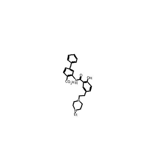 CCN1CCN(CCc2ccc(O)c(C(=O)Nc3cc(-c4ccccc4)ccc3C(=O)O)c2)CC1